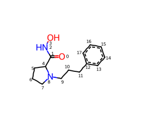 O=C(NO)C1CCCN1CCCc1ccccc1